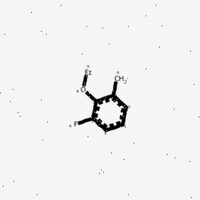 [CH2]c1cccc(F)c1OCC